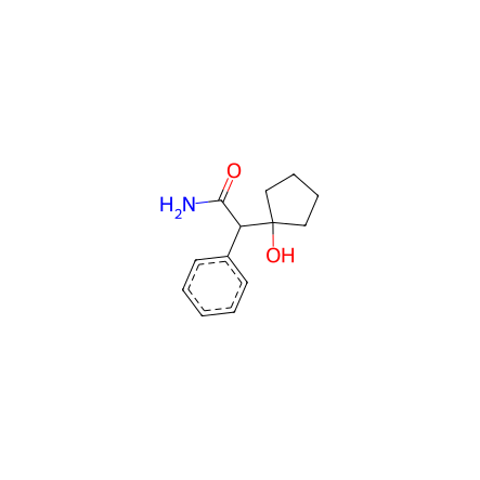 NC(=O)C(c1ccccc1)C1(O)CCCC1